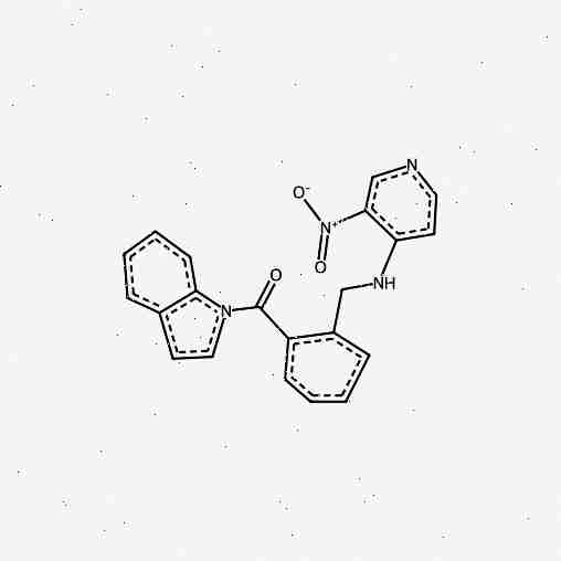 O=C(c1ccccc1CNc1ccncc1[N+](=O)[O-])n1ccc2ccccc21